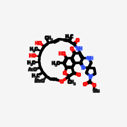 CO[C@H]1/C=C/O[C@@]2(C)Oc3c(C)c(O)c4c(c3C2=O)C2=NC3(CCN(C(=O)OC(C)(C)C)C3)CNC2=C(NC(=O)/C(C)=C\C=C\[C@H](C)[C@H](O)[C@@H](C)[C@@H](O)[C@@H](C)[C@H](OC(C)=O)[C@@H]1C)C4=O